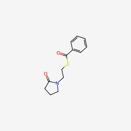 O=C(SCCN1CCCC1=O)c1ccccc1